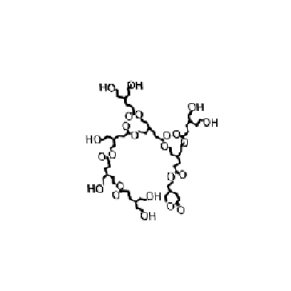 O=C(CCC(CCO)CCO)OCCC(CCO)CCC(=O)OCCC(CCO)CCC(=O)OCCC(CCOC(=O)CCC(CCO)CCO)CCC(=O)OCCC(CCOC(=O)CCC(CCO)CCO)CCC(=O)OCCC1CCOC(=O)CC1